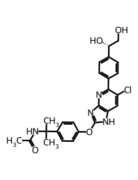 CC(=O)NC(C)(C)c1ccc(Oc2nc3nc(-c4ccc([C@H](O)CO)cc4)c(Cl)cc3[nH]2)cc1